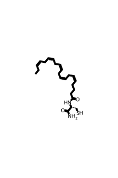 CC/C=C\C/C=C\C/C=C\C/C=C\C/C=C\CCCC(=O)N[C@H](CS)C(N)=O